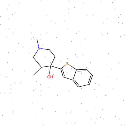 CC1CN(C)CCC1(O)c1cc2ccccc2s1